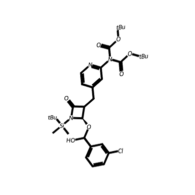 CC(C)(C)OC(=O)N(C(=O)OC(C)(C)C)c1cc(CC2C(=O)N([Si](C)(C)C(C)(C)C)[C@@H]2OC(O)c2cccc(Cl)c2)ccn1